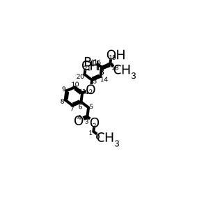 CCOC(=O)Cc1ccccc1O/C(=C/C(Br)=C(\C)O)CC